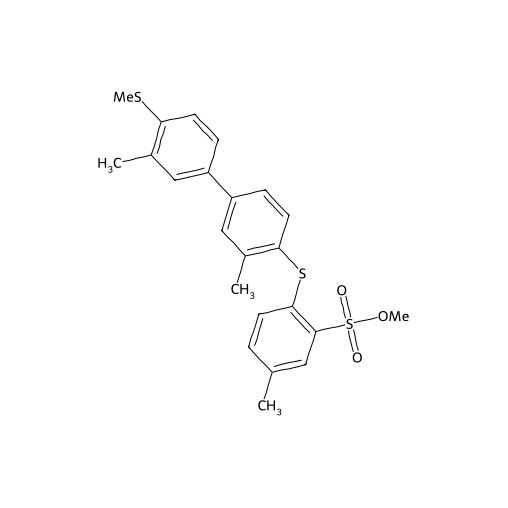 COS(=O)(=O)c1cc(C)ccc1Sc1ccc(-c2ccc(SC)c(C)c2)cc1C